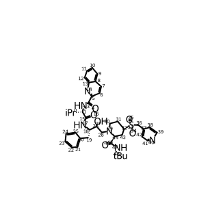 CC(C)[C@H](NC(=O)c1ccc2ccccc2n1)C(=O)N[C@@H](Cc1ccccc1)[C@H](O)CN1CC[C@@H](S(=O)(=O)Cc2ccncc2)C[C@H]1C(=O)NC(C)(C)C